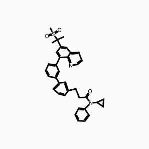 CC(C)(c1cc(-c2cccc(-c3cccc(CCC(=O)N(c4ccccc4)C4CC4)c3)c2)c2ncccc2c1)S(C)(=O)=O